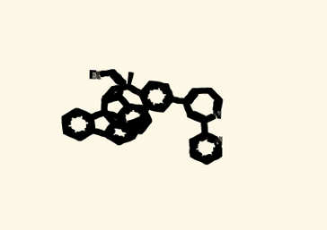 CC/C=C\C1=C2C[C@@H](C)c3ccc(C4=CCC=NC(c5ccccn5)=C4)cc3-c3ccc4c(c3C)C2(c2ccccc21)c1ccccc1-4